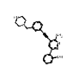 Nc1nnc(-c2ccccc2O)cc1C#Cc1cccc(CN2CCNCC2)c1